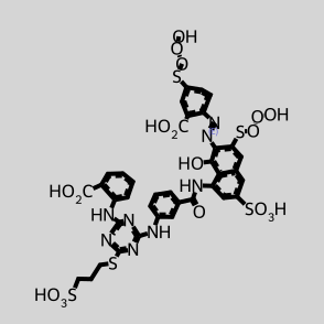 O=C(Nc1cc(S(=O)(=O)O)cc2cc(SOOO)c(/N=N/c3ccc(SOOO)cc3C(=O)O)c(O)c12)c1cccc(Nc2nc(Nc3ccccc3C(=O)O)nc(SCCCS(=O)(=O)O)n2)c1